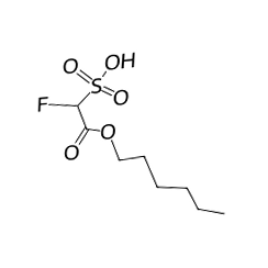 CCCCCCOC(=O)C(F)S(=O)(=O)O